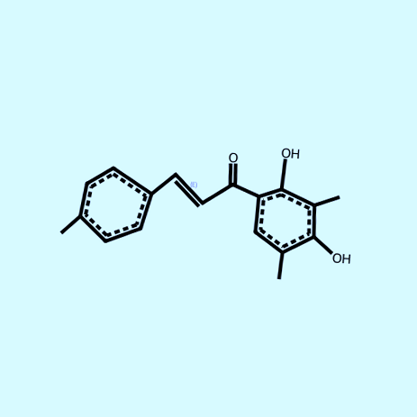 Cc1ccc(/C=C/C(=O)c2cc(C)c(O)c(C)c2O)cc1